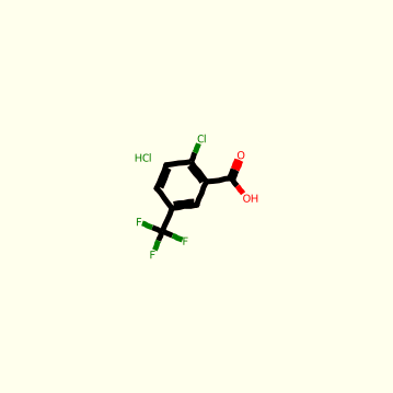 Cl.O=C(O)c1cc(C(F)(F)F)ccc1Cl